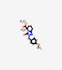 COC(=O)C1(C)CCCc2nn(Cc3ccc(OC)cc3)c(=O)n21